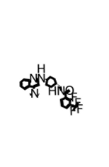 CN(C)c1cc(N[C@H]2CC[C@@H](CNC(=O)c3cccc(C(F)(F)F)c3F)CC2)nc2ccccc12